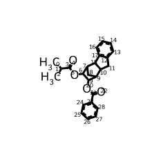 CC(C)C(=O)OC1C2CC(C3Cc4ccccc4C32)C1OC(=O)c1ccccc1